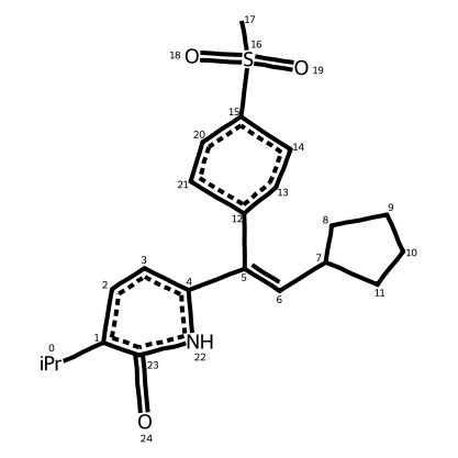 CC(C)c1ccc(/C(=C/C2CCCC2)c2ccc(S(C)(=O)=O)cc2)[nH]c1=O